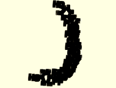 Oc1ccc(C(F)(F)C(F)(F)OC(F)(F)C(F)(F)OC(F)(F)C(F)(F)OC(F)(F)C(F)(F)C(F)(F)C(F)(F)C(F)(F)OC(F)(F)C(F)(F)c2ccc(O)cc2)cc1